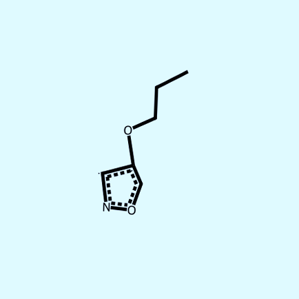 CCCOc1[c]noc1